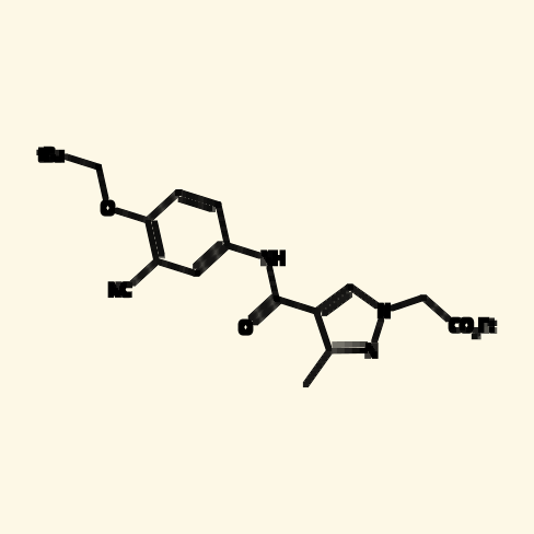 CCOC(=O)Cn1cc(C(=O)Nc2ccc(OCC(C)(C)C)c(C#N)c2)c(C)n1